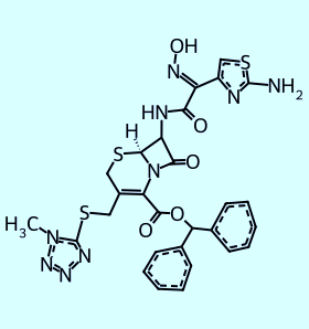 Cn1nnnc1SCC1=C(C(=O)OC(c2ccccc2)c2ccccc2)N2C(=O)C(NC(=O)C(=NO)c3csc(N)n3)[C@@H]2SC1